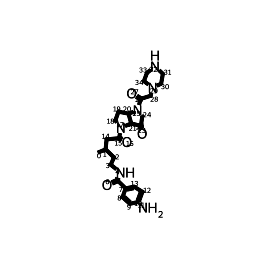 CC(CCNC(=O)c1ccc(N)cc1)CC(=O)N1CCC2C1C(=O)CN2C(=O)CN1CCNCC1